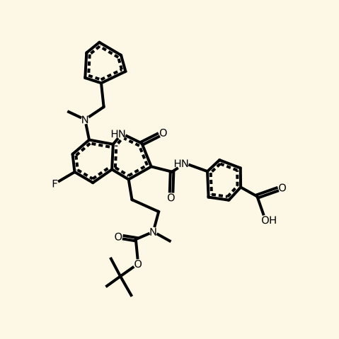 CN(CCc1c(C(=O)Nc2ccc(C(=O)O)cc2)c(=O)[nH]c2c(N(C)Cc3ccccc3)cc(F)cc12)C(=O)OC(C)(C)C